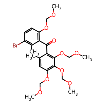 COCOc1cc(C)c(C(=O)c2c(OCOC)ccc(Br)c2C)c(OCOC)c1OCOC